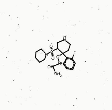 NC(=O)NOC1(c2ccccc2F)CCNCC1S(=O)(=O)N1CCCCC1